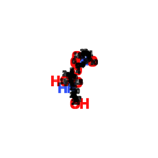 CC(C)(COC(=O)CN1C(=O)C=CC1=O)C(O)C(=O)NCCCO